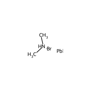 CNC.[Br].[Pb]